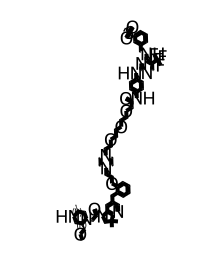 COC[C@H]1CN[C@H](C)CN1CC(=O)N1CC(C)(C)c2ncc(Cc3ccccc3OCCN3CCN(CCOCCOCCOCC(=O)Nc4ccc(Nc5ncc(C(F)(F)F)c(NCc6cccc(S(C)(=O)=O)c6)n5)cc4)CC3)cc21